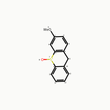 COc1ccc2c(c1)[S+]([O-])c1ccccc1C2